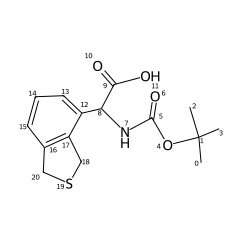 CC(C)(C)OC(=O)NC(C(=O)O)c1cccc2c1CSC2